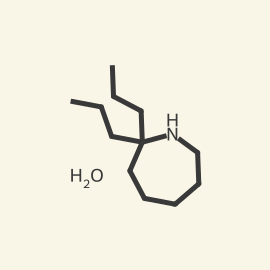 CCCC1(CCC)CCCCCN1.O